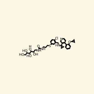 O=C(NCCCSc1ccc(Cl)c(CNC2(c3cnccc3-c3ccccc3OC3CC3)CC2)c1)NC[C@H](O)[C@@H](O)[C@H](O)[C@H](O)CO